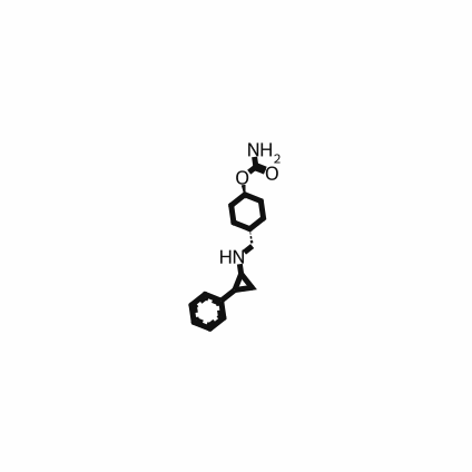 NC(=O)O[C@H]1CC[C@H](CNC2CC2c2ccccc2)CC1